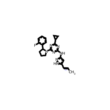 C/C=C/c1cc(Nc2nc(C3CC3)nc(N3CCCC3c3ccccc3F)n2)n[nH]1